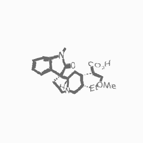 CC[C@@H]1CN2CC[C@]3(C(=O)N(C)c4ccccc43)[C@@H]2C[C@@H]1/C(=C\OC)C(=O)O